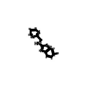 Cc1ccc2nc(NCc3ncccn3)sc2c1